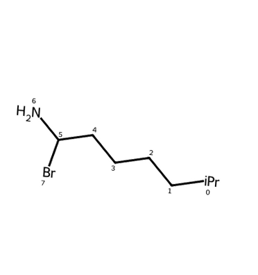 CC(C)CCCCC(N)Br